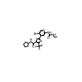 CCNC(=O)Nc1cc(-c2nc(C(F)(F)F)c(C(=O)NC3CCCC3)s2)c(Br)cn1